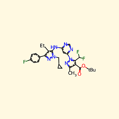 CCc1c(-c2ccc(F)cc2)nn(CC2CC2)c1Nc1cc(-n2nc(C)c(C(=O)OC(C)(C)C)c2C(F)F)ncn1